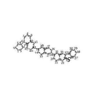 c1ccc2c(c1)-c1cccc3cc(-c4ccc5cc(-c6ccc7cc8sc9ccccc9c8cc7c6)ccc5c4)cc-2c13